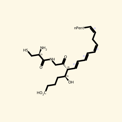 CCCCC/C=C\C\C=C/C=C/C=C/[C@@H](C(=O)CNC(=O)[C@H](N)CS)[C@@H](O)CCCC(=O)O